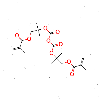 C=C(C)C(=O)OCC(C)(C)OC(=O)OC(=O)OC(C)(C)COC(=O)C(=C)C